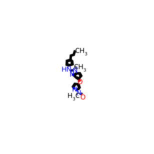 CCCCc1ccc(Nc2nc3cc(Oc4ccnc(N(C)C=O)c4)ccc3n2C)cc1